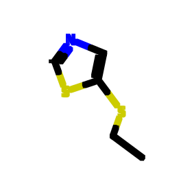 CCSc1cn[c]s1